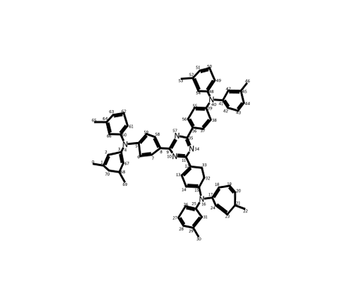 CC1=CC(N(c2ccc(-c3nc(C4=CC=C(N(C5=CC=CC(C)C=C5)c5cccc(C)c5)CC4)nc(-c4ccc(N(c5cccc(C)c5)c5cccc(C)c5)cc4)n3)cc2)c2cccc(C)c2)=CC(C)C1